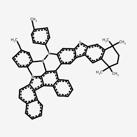 Cc1ccc(N2B3c4cc(C)ccc4-n4c5ccc6ccccc6c5c5c6ccccc6c(c3c54)-c3cc4c(cc32)sc2cc3c(cc24)C(C)(C)CCC3(C)C)cc1